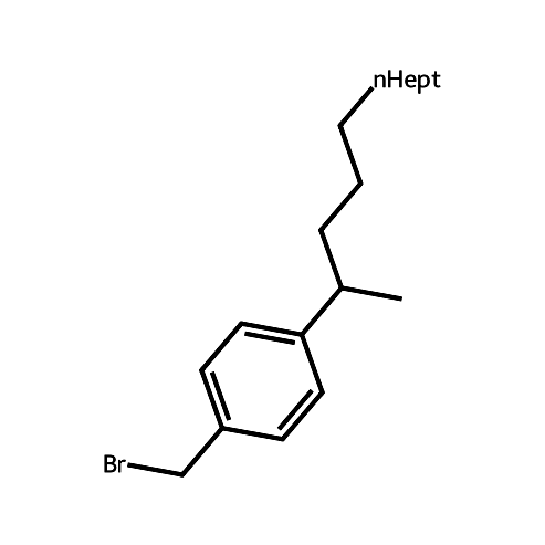 CCCCCCCCCCC(C)c1ccc(CBr)cc1